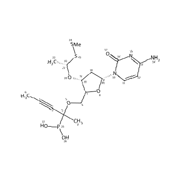 CC#CC(C)(OCC1O[C@@H](n2ccc(N)nc2=O)C[C@H]1O[C@H](C)SSC)P(O)O